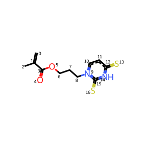 C=C(C)C(=O)OCCCn1ccc(=S)[nH]c1=S